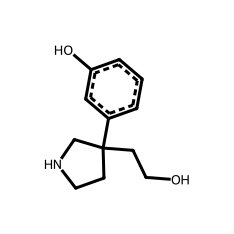 OCCC1(c2cccc(O)c2)CCNC1